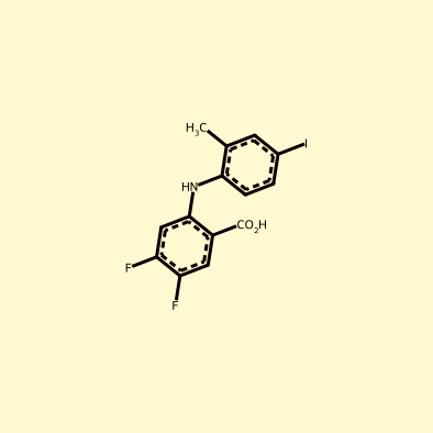 Cc1cc(I)ccc1Nc1cc(F)c(F)cc1C(=O)O